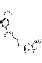 BCc1ccc(C(=O)OCCCC(=O)OC(C(C)(F)F)S(=O)(=O)O)cc1